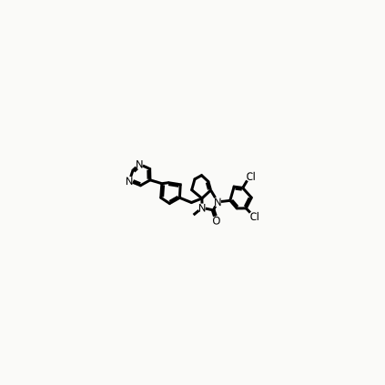 CN1C(=O)N(c2cc(Cl)cc(Cl)c2)C2=CCCCC21Cc1ccc(-c2cncnc2)cc1